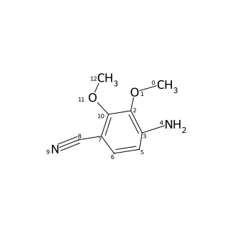 COc1c(N)ccc(C#N)c1OC